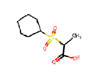 CC(C(=O)O)S(=O)(=O)C1CCCCC1